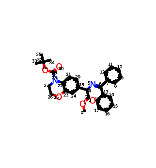 COC(=O)C(N=C(c1ccccc1)c1ccccc1)c1ccc2c(c1)OCCN2C(=O)OC(C)(C)C